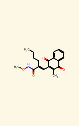 CCCC/C(=C\C1=C([3CH3])C(=O)c2ccccc2C1=O)C(=O)NOC